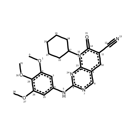 COc1cc(Nc2ncc3cc(C#N)c(=O)n(C4CCCCC4)c3n2)cc(OC)c1OC